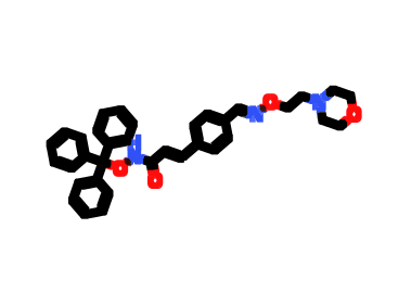 O=C(/C=C/c1ccc(C=NOCCN2CCOCC2)cc1)NOC(c1ccccc1)(c1ccccc1)c1ccccc1